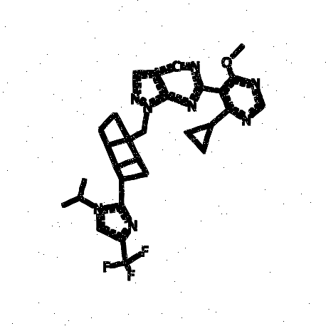 COc1ncnc(C2CC2)c1-c1ncc2cnn(CC34C5C6C3C3C4C5C63c3nc(C(F)(F)F)cn3C(C)C)c2n1